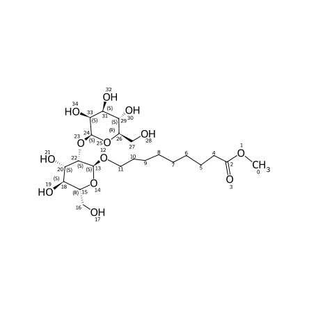 COC(=O)CCCCCCCCO[C@H]1O[C@H](CO)[C@@H](O)[C@H](O)[C@@H]1O[C@@H]1O[C@H](CO)[C@@H](O)[C@H](O)[C@@H]1O